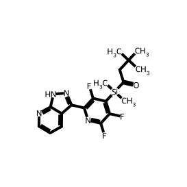 CC(C)(C)CC(=O)[Si](C)(C)c1c(F)c(F)nc(-c2n[nH]c3ncccc23)c1F